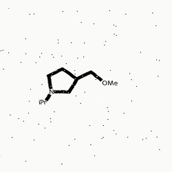 COCC1CCN(C(C)C)C1